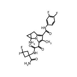 Cc1c(C(=O)Nc2ccc(F)c(F)c2)c2n(c1C(=O)C(=O)NC1(C(N)=O)CC(F)(F)C1)C1(N)CC1C2